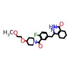 COCCOC1CCN(C(=O)c2cc(Cc3n[nH]c(=O)c4c3CCCC4)ccc2F)CC1